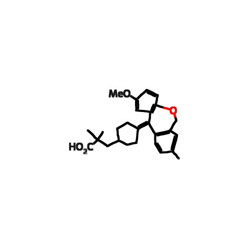 COc1ccc2c(c1)C(=C1CCC(CC(C)(C)C(=O)O)CC1)c1ccc(C)cc1CO2